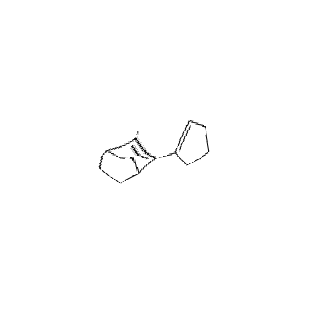 [C]1=C(C2=CCCC2)C2CCC1C2